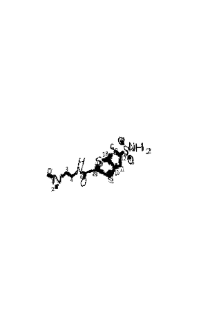 CN(C)CCNC(=O)c1cc2cc(S(N)(=O)=O)sc2s1